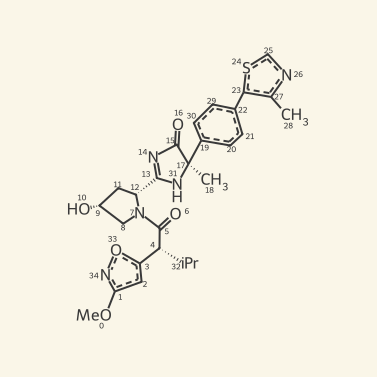 COc1cc([C@H](C(=O)N2C[C@H](O)C[C@@H]2C2=NC(=O)[C@@](C)(c3ccc(-c4scnc4C)cc3)N2)C(C)C)on1